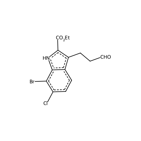 CCOC(=O)c1[nH]c2c(Br)c(Cl)ccc2c1CCC=O